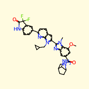 COc1cc(C(=O)N2CC3CCC2C3N)cc2nc(-c3cc4ccc(-c5ccc6c(c5)C(F)(F)C(=O)N6)nc4n3CC3CC3)n(C)c12